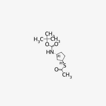 CC(=O)S[C@@H]1CC[C@@H](NC(=O)OC(C)(C)C)C1